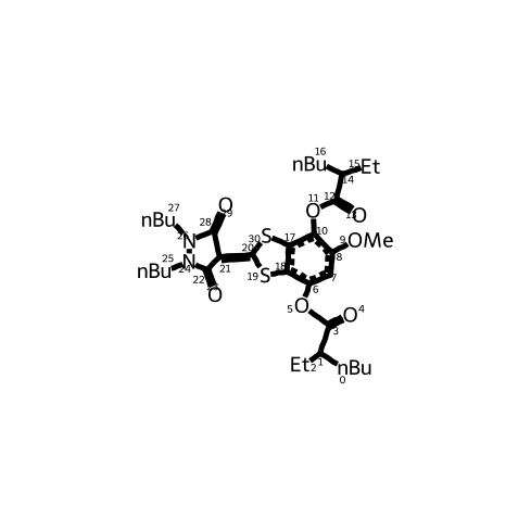 CCCCC(CC)C(=O)Oc1cc(OC)c(OC(=O)C(CC)CCCC)c2c1SC(=C1C(=O)N(CCCC)N(CCCC)C1=O)S2